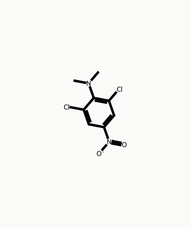 CN(C)c1c(Cl)cc([N+](=O)[O-])cc1Cl